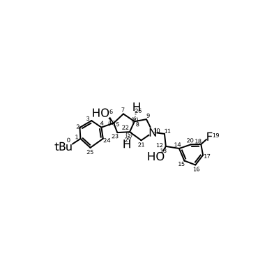 CC(C)(C)c1ccc([C@]2(O)C[C@H]3CN(CC(O)c4cccc(F)c4)C[C@H]3C2)cc1